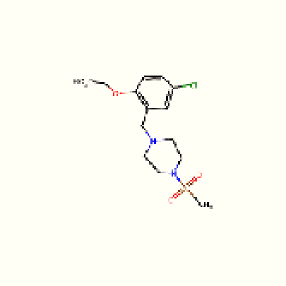 CS(=O)(=O)N1CCN(Cc2cc(Cl)ccc2OCC(=O)O)CC1